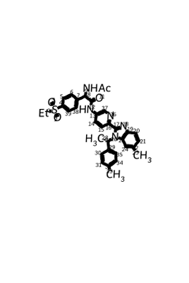 CCS(=O)(=O)c1ccc(C(NC(C)=O)C(=O)Nc2ccc(-c3nc4ccc(C)cc4n3[C@@H](C)c3ccc(C)cc3)nc2)cc1